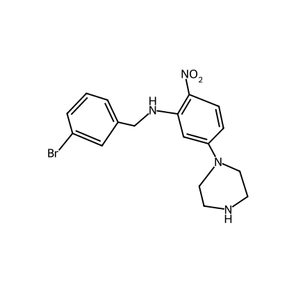 O=[N+]([O-])c1ccc(N2CCNCC2)cc1NCc1cccc(Br)c1